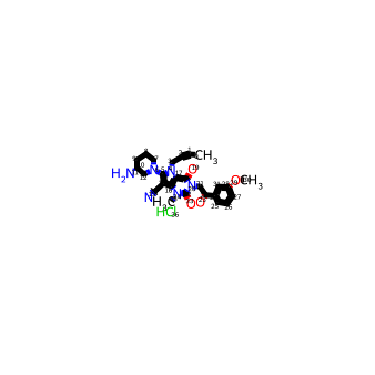 CC#CCn1c(N2CCC[C@H](N)C2)c(C#N)c2c1c(=O)n(CC(=O)c1cccc(OC)c1)c(=O)n2C.Cl